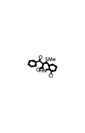 CSc1c(C(=O)c2ccccc2)c(=O)[nH]c2c(Cl)cccc12